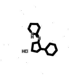 C1CCC(C2CCCC2N=C2CCCCN2)CC1.Cl